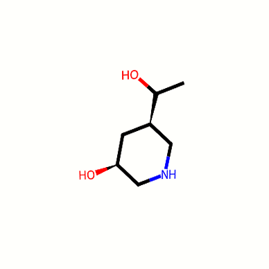 CC(O)[C@H]1CNC[C@@H](O)C1